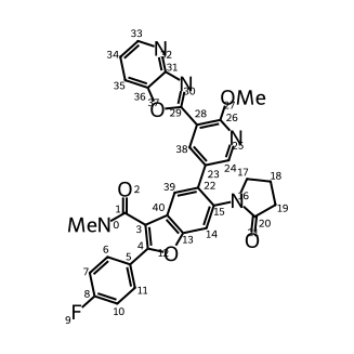 CNC(=O)c1c(-c2ccc(F)cc2)oc2cc(N3CCCC3=O)c(-c3cnc(OC)c(-c4nc5ncccc5o4)c3)cc12